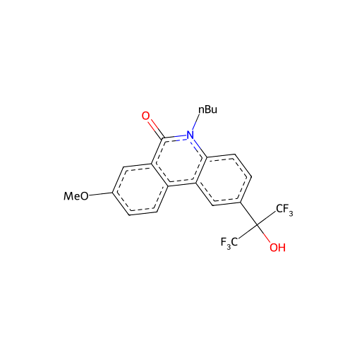 CCCCn1c(=O)c2cc(OC)ccc2c2cc(C(O)(C(F)(F)F)C(F)(F)F)ccc21